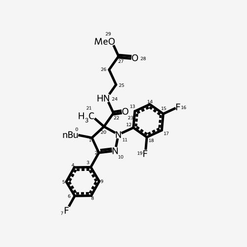 CCCCC1C(c2ccc(F)cc2)=NN(c2ccc(F)cc2F)C1(C)C(=O)NCCC(=O)OC